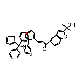 CC(C)(O)c1cc2cc(C(=O)C=Cc3ccccc3-c3cncn3C(c3ccccc3)(c3ccccc3)c3ccccc3)ccc2o1